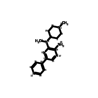 CN1CCC(N(C)c2nc(-c3ccncc3)cnc2N)CC1